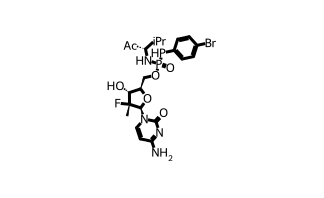 CC(=O)[C@@H](NP(=O)(OC[C@H]1O[C@@H](n2ccc(N)nc2=O)[C@](C)(F)[C@@H]1O)Pc1ccc(Br)cc1)C(C)C